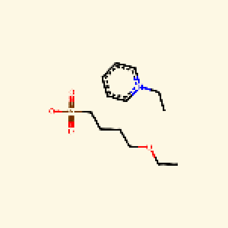 CCOCCCCS(=O)(=O)[O-].CC[n+]1ccccc1